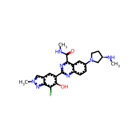 CNC(=O)c1nc(-c2cc3cn(C)nc3c(F)c2O)nc2ccc(N3CC[C@@H](NC)C3)cc12